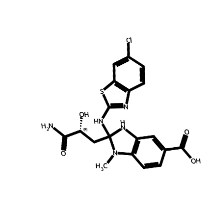 CN1c2ccc(C(=O)O)cc2NC1(C[C@@H](O)C(N)=O)Nc1nc2ccc(Cl)cc2s1